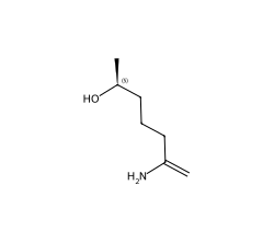 C=C(N)CCC[C@H](C)O